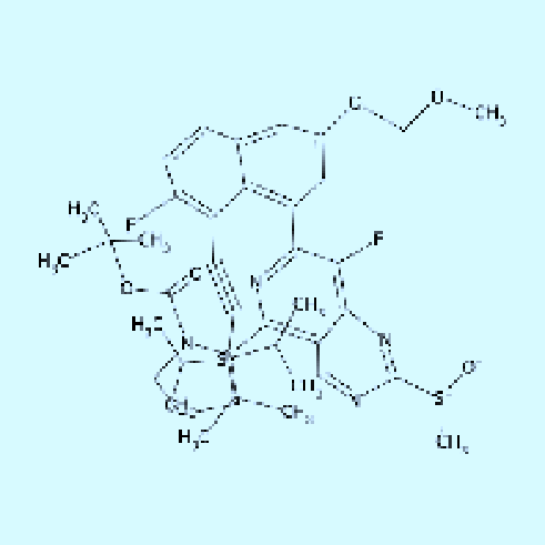 COCOc1cc(-c2nc(N3CCCN3C(=O)OC(C)(C)C)c3cnc([S+](C)[O-])nc3c2F)c2c(C#C[Si](C(C)C)(C(C)C)C(C)C)c(F)ccc2c1